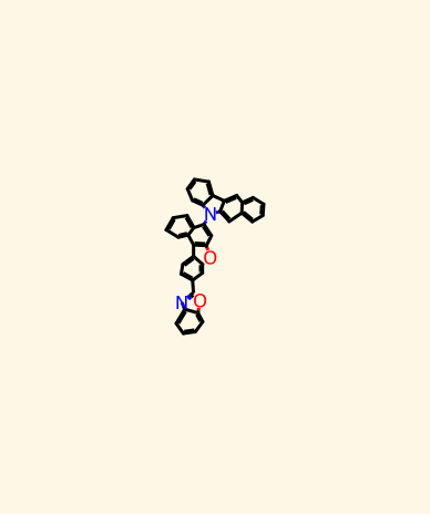 c1ccc2cc3c(cc2c1)c1ccccc1n3-c1cc2oc3cc(-c4nc5ccccc5o4)ccc3c2c2ccccc12